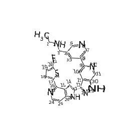 CCNCc1cncc(-c2cc3c(-c4cc5c(-c6ccc(F)s6)nccc5[nH]4)n[nH]c3cn2)c1